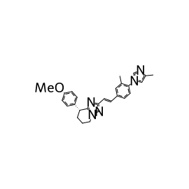 COc1ccc([C@H]2CCCn3nc(/C=C/c4ccc(-n5cnc(C)c5)c(C)c4)nc32)cc1